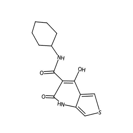 O=C(NC1CCCCC1)c1c(O)c2cscc2[nH]c1=O